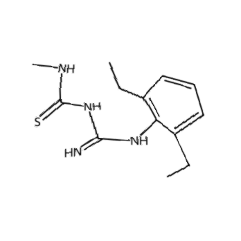 CCc1cccc(CC)c1NC(=N)NC(=S)NC